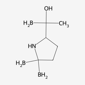 BC1(B)CCC(C(B)(C)O)N1